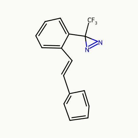 FC(F)(F)C1(c2ccccc2C=Cc2ccccc2)N=N1